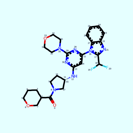 O=C(C1CCCOC1)N1CC[C@H](Nc2cc(-n3c(C(F)F)nc4ccccc43)nc(N3CCOCC3)n2)C1